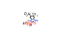 CCOP(=O)(OCC)C(C)n1c(=O)c(=O)[nH]c2cc(C(F)(F)F)c([N+](=O)[O-])cc21